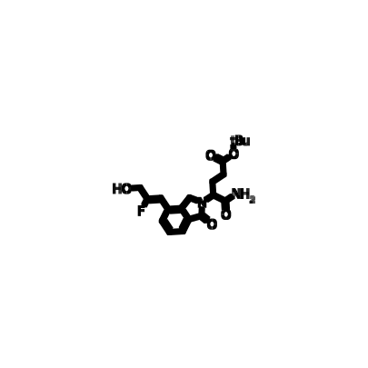 CC(C)(C)OC(=O)CCC(C(N)=O)N1Cc2c(/C=C(\F)CO)cccc2C1=O